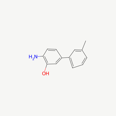 Cc1cccc(-c2ccc(N)c(O)c2)c1